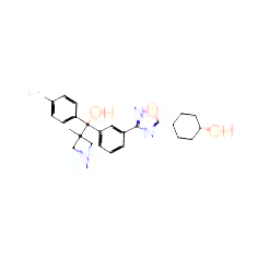 CC(C)c1ccc([C@](O)(c2cccc(-c3noc([C@H]4CC[C@H](O)CC4)n3)c2)C2(C)CN(C)C2)cc1